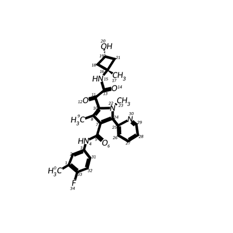 Cc1cc(NC(=O)c2c(C)c(C(=O)C(=O)N[C@]3(C)C[C@H](O)C3)n(C)c2-c2ccccn2)ccc1F